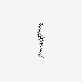 CCCCCCCCCC(=O)OC1CCC2C(CCC3CC(CCCCCCC)CCC32)C1